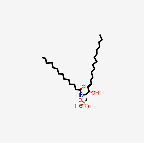 CCCCCCCCCCCCC/C=C/[C@@H](O)[C@H](CS(=O)(=O)O)NC(=O)CCCCCCCCCCCCC